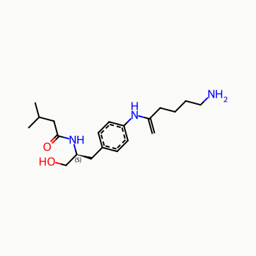 C=C(CCCCN)Nc1ccc(C[C@@H](CO)NC(=O)CC(C)C)cc1